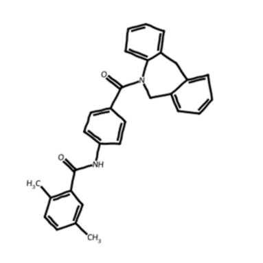 Cc1ccc(C)c(C(=O)Nc2ccc(C(=O)N3Cc4ccccc4Cc4ccccc43)cc2)c1